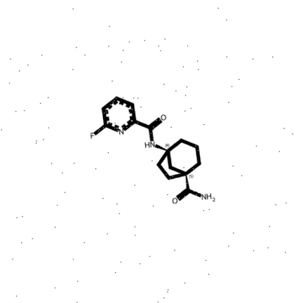 NC(=O)[C@@]12CCC[C@@](NC(=O)c3cccc(F)n3)(CC1)C2